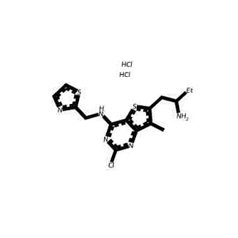 CCC(N)Cc1sc2c(NCc3nccs3)nc(Cl)nc2c1C.Cl.Cl